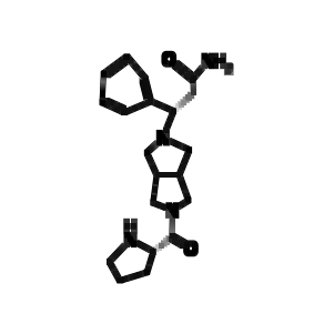 NC(=O)C[C@@H](c1ccccc1)N1CC2CN(C(=O)[C@@H]3CCCN3)CC2C1